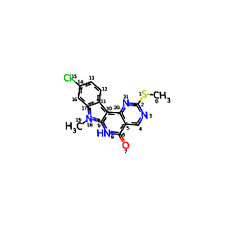 CSc1ncc2c(=O)[nH]c3c(c4ccc(Cl)cc4n3C)c2n1